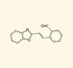 O=Cc1ccccc1/C=C/c1nc2ccccc2o1